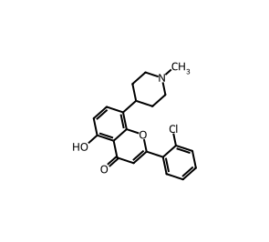 CN1CCC(c2ccc(O)c3c(=O)cc(-c4ccccc4Cl)oc23)CC1